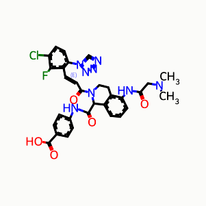 CN(C)CC(=O)Nc1cccc2c1CCN(C(=O)/C=C/c1c(-n3cnnn3)ccc(Cl)c1F)C2C(=O)Nc1ccc(C(=O)O)cc1